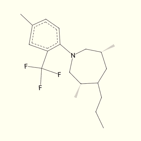 CCCC1C[C@@H](C)CN(c2ccc(C)cc2C(F)(F)F)C[C@H]1C